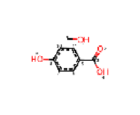 CO.O=C(O)c1ccc(O)cc1